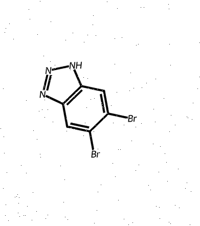 Brc1cc2nn[nH]c2cc1Br